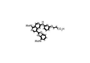 CNc1ncc(-c2nc3c(NC)cccc3o2)c2cc(Nc3cccc(OCCC(=O)O)n3)ncc12